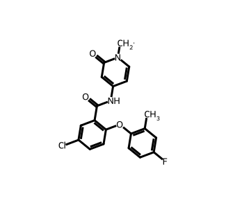 [CH2]n1ccc(NC(=O)c2cc(Cl)ccc2Oc2ccc(F)cc2C)cc1=O